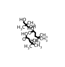 CC(C)(C)CCC(=O)O.CC(C)(C)CCC(=O)O.CC(C)(CO)CO